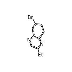 CCc1cnc2cc(Br)ccc2n1